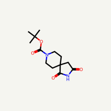 CC(C)(C)OC(=O)N1CCC2(CC1)CC(=O)NC2=O